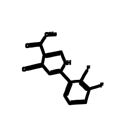 COC(=O)c1c[nH]c(-c2cccc(F)c2F)cc1=O